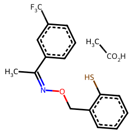 C/C(=N/OCc1ccccc1S)c1cccc(C(F)(F)F)c1.CC(=O)O